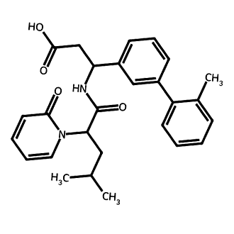 Cc1ccccc1-c1cccc(C(CC(=O)O)NC(=O)C(CC(C)C)n2ccccc2=O)c1